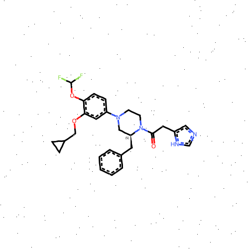 O=C(Cc1cnc[nH]1)N1CCN(c2ccc(OC(F)F)c(OCC3CC3)c2)C[C@@H]1Cc1ccccc1